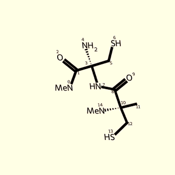 CNC(=O)[C@@](N)(CS)NC(=O)[C@@](C)(CS)NC